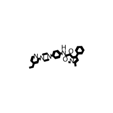 CCc1ccnc(N2CCN(c3ccc(NC(=O)C(=O)c4c(-c5ccccc5)cc(C)n4C)cc3)CC2)c1